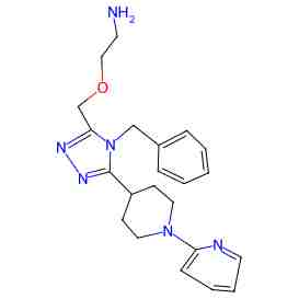 NCCOCc1nnc(C2CCN(c3ccccn3)CC2)n1Cc1ccccc1